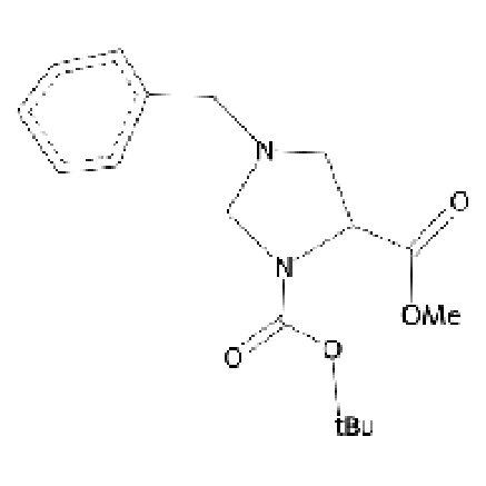 COC(=O)C1CN(Cc2ccccc2)CN1C(=O)OC(C)(C)C